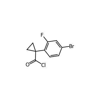 O=C(Cl)C1(c2ccc(Br)cc2F)CC1